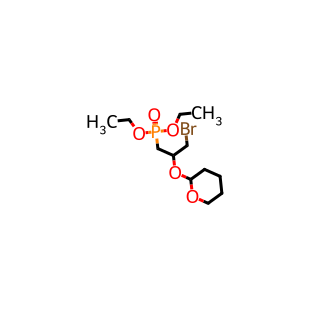 CCOP(=O)(CC(CBr)OC1CCCCO1)OCC